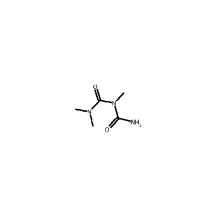 CN(C)C(=O)N(C)C(N)=O